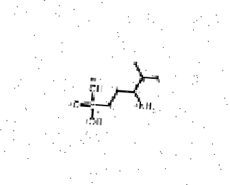 CC(C)C(N)CCP(=O)(O)O